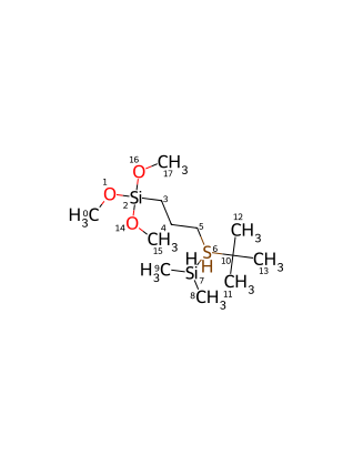 CO[Si](CCC[SH]([SiH](C)C)C(C)(C)C)(OC)OC